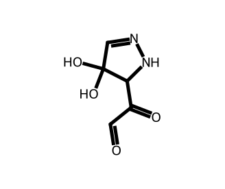 O=CC(=O)C1NN=CC1(O)O